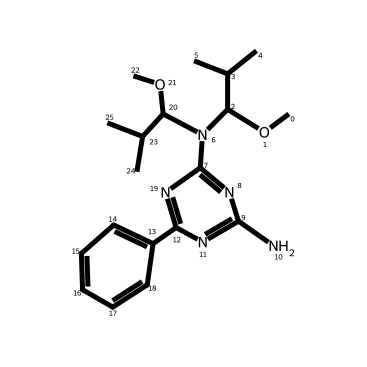 COC(C(C)C)N(c1nc(N)nc(-c2ccccc2)n1)C(OC)C(C)C